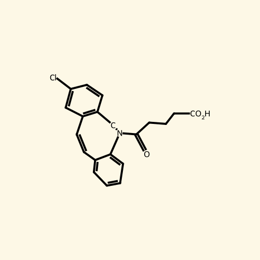 O=C(O)CCCC(=O)N1Cc2ccc(Cl)cc2C=Cc2ccccc21